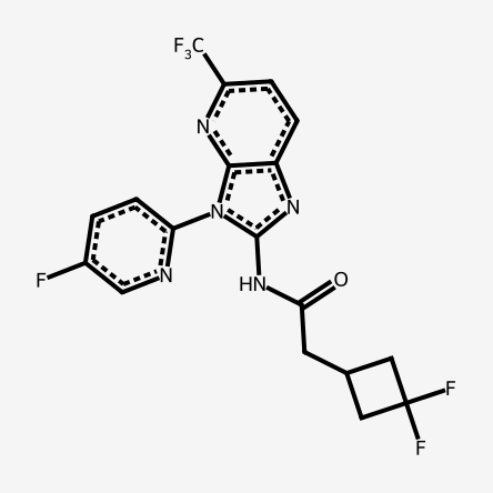 O=C(CC1CC(F)(F)C1)Nc1nc2ccc(C(F)(F)F)nc2n1-c1ccc(F)cn1